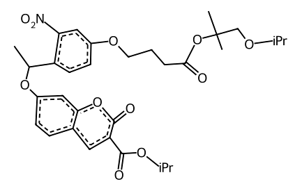 CC(C)OCC(C)(C)OC(=O)CCCOc1ccc(C(C)Oc2ccc3cc(C(=O)OC(C)C)c(=O)oc3c2)c([N+](=O)[O-])c1